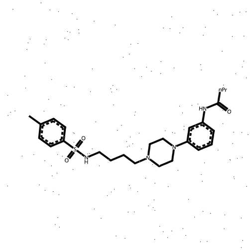 CCCC(=O)Nc1cccc(N2CCN(CCCCNS(=O)(=O)c3ccc(C)cc3)CC2)c1